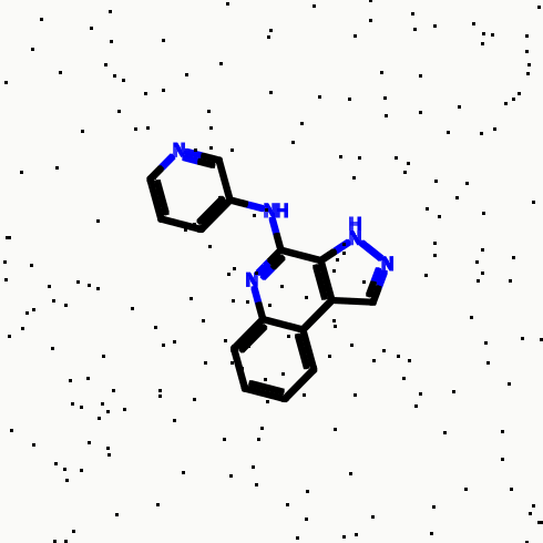 c1cncc(Nc2nc3ccccc3c3cn[nH]c23)c1